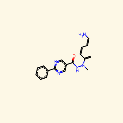 C=C(/C=C\C=C/N)N(C)NC(=O)c1cnc(-c2ccccc2)nc1